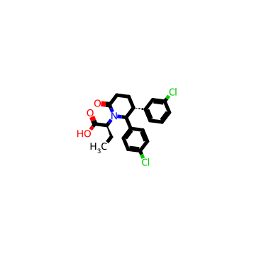 CC[C@@H](C(=O)O)N1C(=O)CC[C@H](c2cccc(Cl)c2)C1c1ccc(Cl)cc1